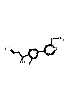 C=CCC(O)c1ccc(-c2ccnc(OC)c2)cc1F